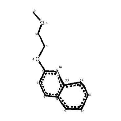 COCCOc1ccc2ccccc2n1